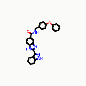 O=C(NCc1ccc(Oc2ccccc2)cc1)c1ccc2[nH]c(-c3n[nH]c4ccccc34)nc2c1